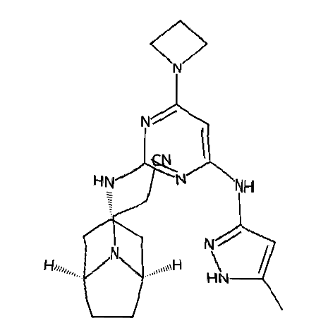 Cc1cc(Nc2cc(N3CCC3)nc(N[C@@H]3C[C@H]4CC[C@@H](C3)N4CCC#N)n2)n[nH]1